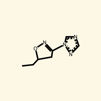 CCC1CC(n2cncn2)=NO1